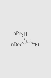 CCC#C[C@H](C)CC(CCCCCCCCCCCC)CCCCNCCC